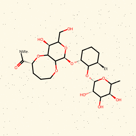 CC[C@@H]1CCC[C@@H](O[C@@H]2OC(CO)[C@H](O)C3O[C@@H](C(=O)NC)CCCOC32)C1O[C@@H]1OC(C)[C@@H](O)C(O)[C@@H]1O